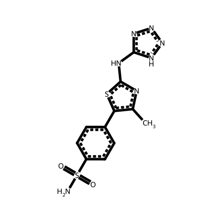 Cc1nc(Nc2nnn[nH]2)sc1-c1ccc(S(N)(=O)=O)cc1